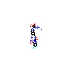 Nc1c(N2CCc3ccc(CNC(=O)c4nc5cc(F)c(F)cc5c(=O)[nH]4)cc3C2)c(=O)c1=O